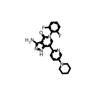 Nc1n[nH]c2c(-c3ccc(N4CCCCC4)cn3)cn(-c3c(F)cccc3F)c(=O)c12